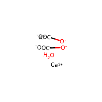 O.O=C([O-])[O-].O=C([O-])[O-].[Ga+3].[K+]